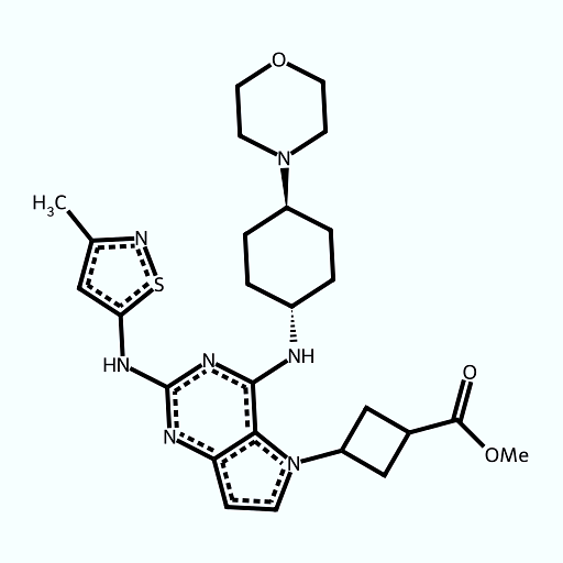 COC(=O)C1CC(n2ccc3nc(Nc4cc(C)ns4)nc(N[C@H]4CC[C@H](N5CCOCC5)CC4)c32)C1